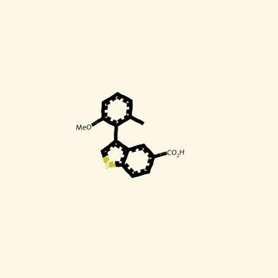 COc1cccc(C)c1-c1csc2ccc(C(=O)O)cc12